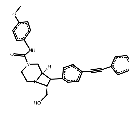 COc1ccc(NC(=O)N2CCN3[C@H](CO)C(c4ccc(C#Cc5ccccc5)cc4)[C@@H]3C2)cc1